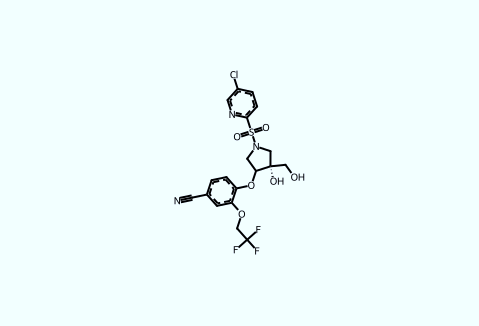 N#Cc1ccc(OC2CN(S(=O)(=O)c3ccc(Cl)cn3)C[C@@]2(O)CO)c(OCC(F)(F)F)c1